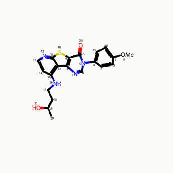 COc1ccc(-n2cnc3c(sc4nccc(NCCC(C)O)c43)c2=O)cc1